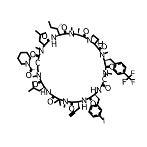 C#CC[C@@H]1NC(=O)[C@H](Cc2cccc(I)c2)NC(=O)CN(C)C(=O)[C@H](Cc2ccc(C(F)(F)F)cc2)N(C)C(=O)[C@@H]2CCN2C(=O)[C@H](C)N(C)C(=O)[C@H]([C@@H](C)CC)NC(=O)C(CC(C)C)N(C)C(=O)C[C@@H](C(=O)N2CCCCC2)N(C)C(=O)[C@H](CC(C)C)NC(=O)C(C)(C)N(C)C1=O